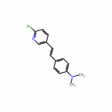 CN(C)c1ccc(/C=C/c2ccc(Br)nc2)cc1